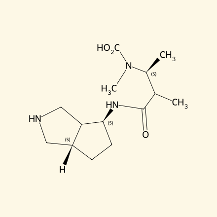 CC(C(=O)N[C@H]1CC[C@@H]2CNCC21)[C@H](C)N(C)C(=O)O